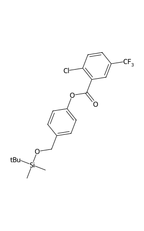 CC(C)(C)[Si](C)(C)OCc1ccc(OC(=O)c2cc(C(F)(F)F)ccc2Cl)cc1